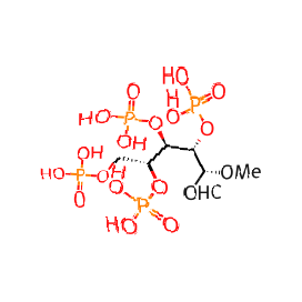 CO[C@H](C=O)[C@@H](OP(=O)(O)O)[C@H](OP(=O)(O)O)[C@@H](COP(=O)(O)O)OP(=O)(O)O